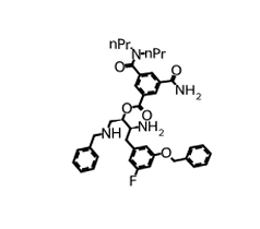 CCCN(CCC)C(=O)c1cc(C(N)=O)cc(C(=O)O[C@H](CNCc2ccccc2)[C@@H](N)Cc2cc(F)cc(OCc3ccccc3)c2)c1